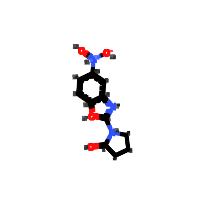 O=C1CCCN1c1nc2cc([N+](=O)[O-])ccc2o1